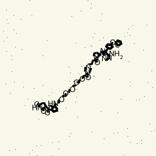 Nc1ncnc2c1c(-c1ccc(Oc3ccccc3)cc1)nn2[C@@H]1CCCN(C(=O)CCCN2CCN(C(=O)COCCOCCOCCOCCOCCNc3cccc4c3CN(C3CCC(=O)NC3=O)C4=O)CC2)C1